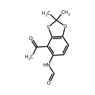 CC(=O)c1c(NC=O)ccc2c1SC(C)(C)O2